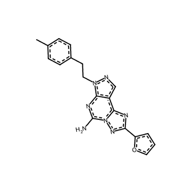 Cc1ccc(CCn2ncc3c2nc(N)n2nc(-c4ccco4)nc32)cc1